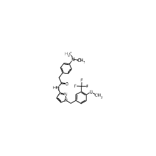 COc1ccc(Cn2ccc(NC(=O)Cc3ccc(N(C)C)cc3)n2)cc1C(F)(F)F